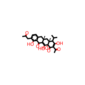 CC(=O)Cc1ccc2c(c1O)C(=O)C1=C(O)[C@@]3(O)C(=O)C(C(C)=O)=C(O)C(C(C)C)[C@@]3(C)C[C@@]1(C)C2